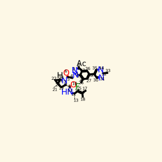 CC(=O)c1nn(CC(=O)N2[C@H](C(=O)N[C@@H](C)C(F)=C(C)C)C[C@@]3(C)C[C@@H]23)c2c(C)cc(-c3cnc(C)nc3)cc12